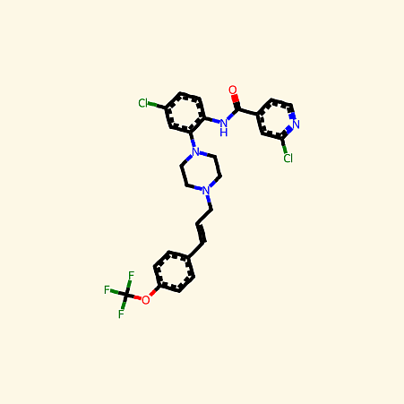 O=C(Nc1ccc(Cl)cc1N1CCN(CC=Cc2ccc(OC(F)(F)F)cc2)CC1)c1ccnc(Cl)c1